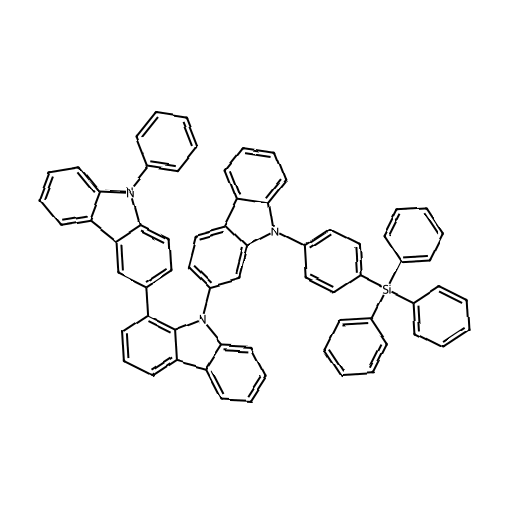 c1ccc(-n2c3ccccc3c3cc(-c4cccc5c6ccccc6n(-c6ccc7c8ccccc8n(-c8ccc([Si](c9ccccc9)(c9ccccc9)c9ccccc9)cc8)c7c6)c45)ccc32)cc1